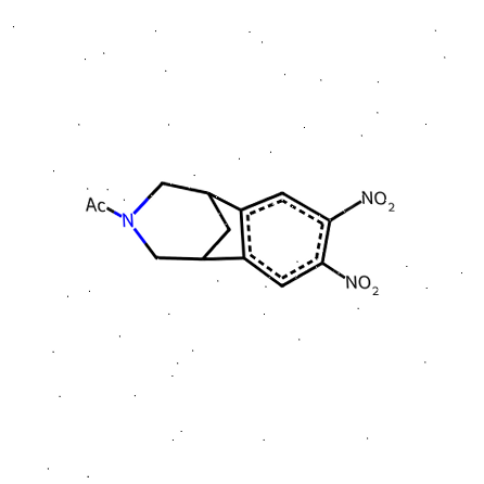 CC(=O)N1CC2CC(C1)c1cc([N+](=O)[O-])c([N+](=O)[O-])cc12